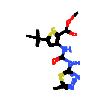 COC(=O)c1sc(C(C)(C)C)cc1NC(=O)Nc1nnc(C)s1